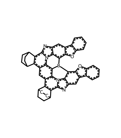 c1ccc2c(c1)oc1c3c4c(cc12)nc1c2c(c5cc6c7c(c8nc9cc%10c(oc%11ccccc%11%10)c%10c9n8c6c(c5n14)B3%10)C1CCC7CC1)C1CCC2CC1